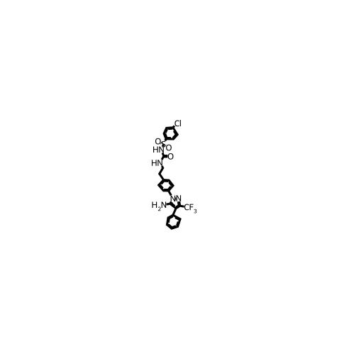 Nc1c(-c2ccccc2)c(C(F)(F)F)nn1-c1ccc(CCNC(=O)NS(=O)(=O)c2ccc(Cl)cc2)cc1